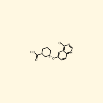 O=C(O)N1CCC[C@H](Oc2ccc3ncnc(Cl)c3c2)C1